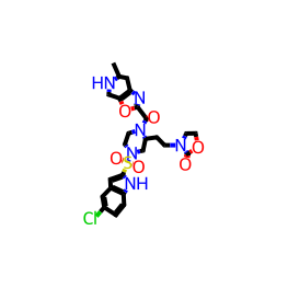 CC1Cc2nc(C(=O)N3CCN(S(=O)(=O)c4cc5cc(Cl)ccc5[nH]4)CC3CCN3CCOC3=O)oc2CN1